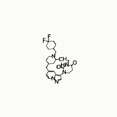 C[C@H]1C[C@@H](Cc2ccn3ncc(N4CCC(=O)NC4=O)c3c2)CCN1CC1CCC(F)(F)CC1